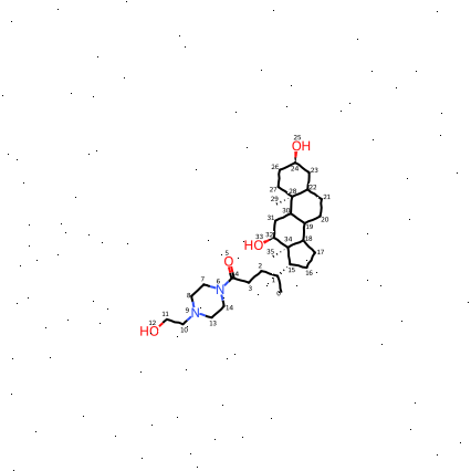 CC(CCC(=O)N1CCN(CCO)CC1)[C@H]1CCC2C3CCC4C[C@H](O)CC[C@]4(C)C3C[C@H](O)[C@@]21C